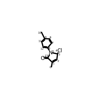 CC1=CC(Cl)N(c2ccc(C)cc2)C1=O